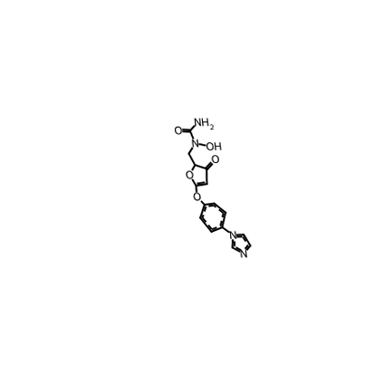 NC(=O)N(O)CC1OC(Oc2ccc(-n3ccnc3)cc2)=CC1=O